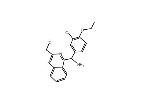 CCOc1ccc(C(N)c2nc(CCl)nc3ccccc23)cc1Cl